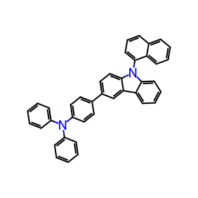 c1ccc(N(c2ccccc2)c2ccc(-c3ccc4c(c3)c3ccccc3n4-c3cccc4ccccc34)cc2)cc1